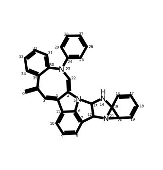 C=C1/C=c2\c(n3c4c(cccc24)C2C3NC34C=CC=CC3N24)=C/N(c2ccccc2)c2ccccc21